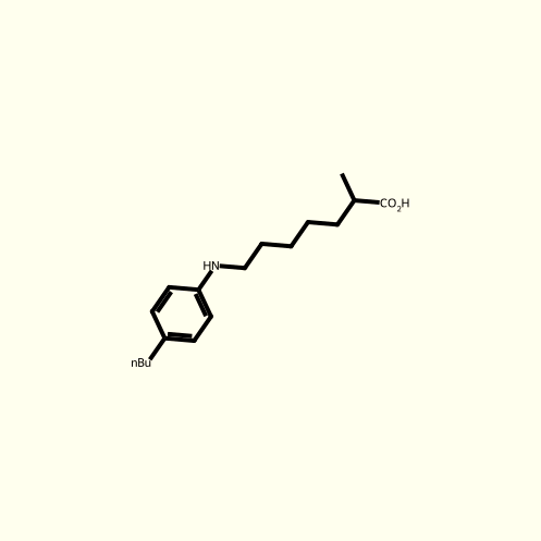 CCCCc1ccc(NCCCCCC(C)C(=O)O)cc1